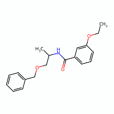 CCOc1cccc(C(=O)NC(C)COCc2ccccc2)c1